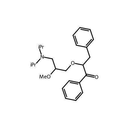 COC(COC(Cc1ccccc1)C(=O)c1ccccc1)CN(C(C)C)C(C)C